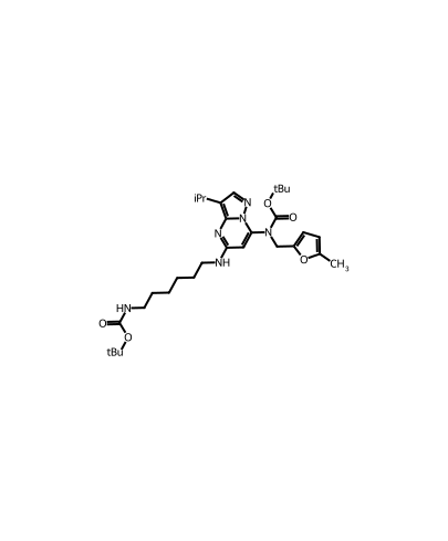 Cc1ccc(CN(C(=O)OC(C)(C)C)c2cc(NCCCCCCNC(=O)OC(C)(C)C)nc3c(C(C)C)cnn23)o1